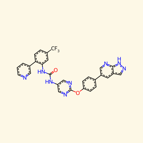 O=C(Nc1cnc(Oc2ccc(-c3cnc4[nH]ncc4c3)cc2)nc1)Nc1cc(C(F)(F)F)ccc1-c1cccnc1